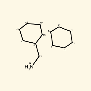 C1CCCCC1.NCC1CCCCC1